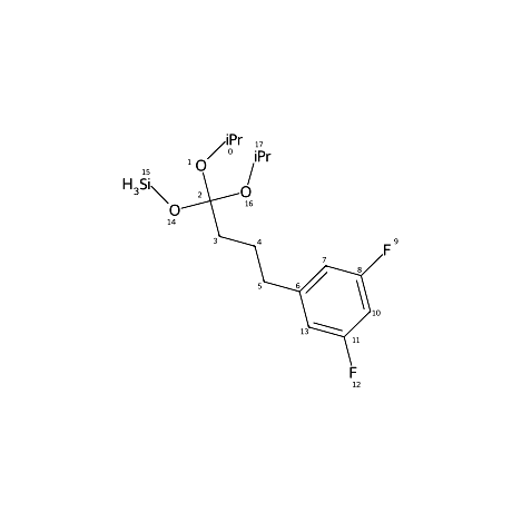 CC(C)OC(CCCc1cc(F)cc(F)c1)(O[SiH3])OC(C)C